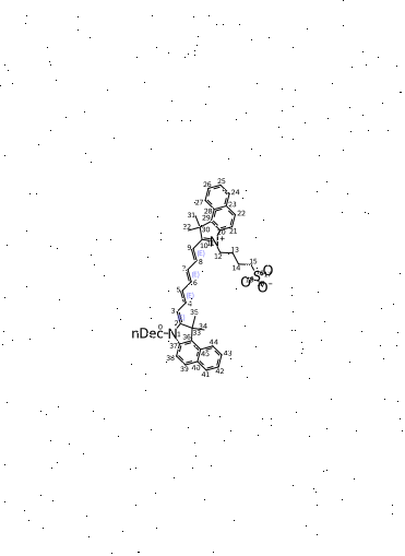 CCCCCCCCCCN1/C(=C/C=C/C=C/C=C/C2=[N+](CCCCS(=O)(=O)[O-])c3ccc4ccccc4c3C2(C)C)C(C)(C)c2c1ccc1ccccc21